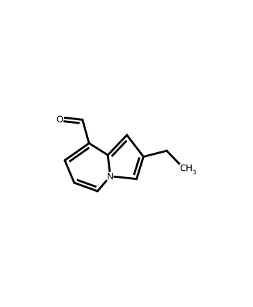 CCc1cc2c(C=O)cccn2c1